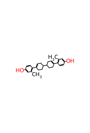 Cc1cc(O)ccc1C1=CCC(C2CC=C(c3ccc(O)cc3C)CC2)CC1